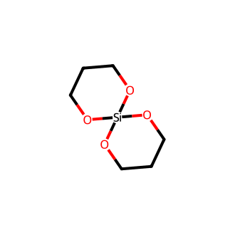 C1CO[Si]2(OC1)OCCCO2